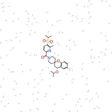 Cc1nc(C(=O)N2CCC3(CC2)C[C@@H](OC(C)C)c2cc(F)ccc2O3)ccc1S(=O)(=O)C(C)C